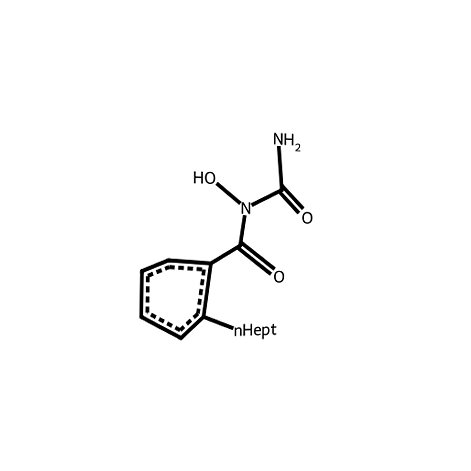 CCCCCCCc1ccccc1C(=O)N(O)C(N)=O